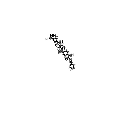 N=C(N)c1ccc(NC(=O)[C@H](O)[C@H]2OCCN(c3ccc(NC(=O)COCc4ccccc4)cc3)C2=O)cc1